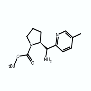 Cc1ccc(C(N)[C@@H]2CCCN2C(=O)OC(C)(C)C)nc1